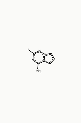 Nc1nc(I)nn2cccc12